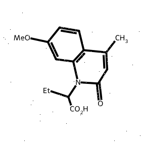 CCC(C(=O)O)n1c(=O)cc(C)c2ccc(OC)cc21